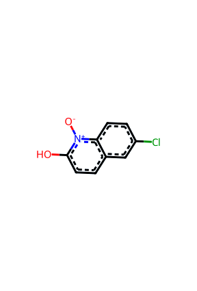 [O-][n+]1c(O)ccc2cc(Cl)ccc21